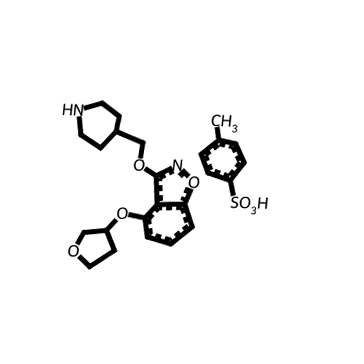 Cc1ccc(S(=O)(=O)O)cc1.c1cc(OC2CCOC2)c2c(OCC3CCNCC3)noc2c1